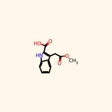 COC(=O)Cc1c(C(=O)O)[nH]c2ccccc12